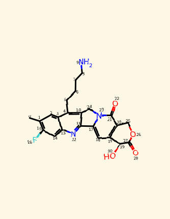 Cc1cc2c(CCCCN)c3c(nc2cc1F)-c1cc2c(c(=O)n1C3)COC(=O)[C@H]2O